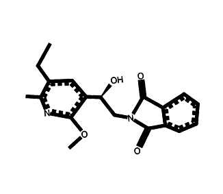 CCc1cc([C@@H](O)CN2C(=O)c3ccccc3C2=O)c(OC)nc1C